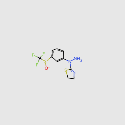 NN(C1=NCCS1)c1cccc([S+]([O-])C(F)(F)F)c1